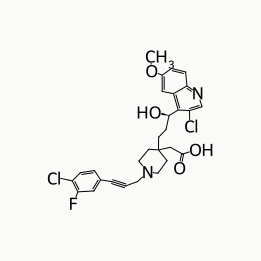 COc1ccc2ncc(Cl)c([C@H](O)CCC3(CC(=O)O)CCN(CC#Cc4ccc(Cl)c(F)c4)CC3)c2c1